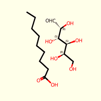 CCCCCCCCC(=O)O.O=C[C@H](O)[C@@H](O)[C@@H](O)[C@H](O)CO